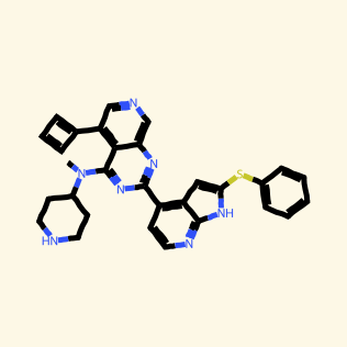 CN(c1nc(-c2ccnc3[nH]c(Sc4ccccc4)cc23)nc2cncc(C3=CC=C3)c12)C1CCNCC1